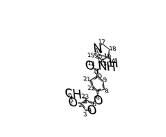 COc1coc(Oc2ccc(C(=O)NC3CN4CC[C@H]3C4)cc2)c1